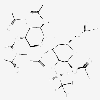 CC(=O)OC[C@H]1O[C@@H](OC(C)=O)[C@@H](OS(=O)(=O)C(F)(F)F)[C@@H](OC(C)=O)[C@@H]1O[C@@H]1O[C@H](COC(C)=O)[C@@H](OC(C)=O)[C@H](OC(C)=O)[C@H]1OC(C)=O